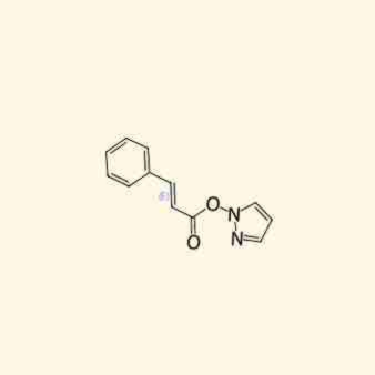 O=C(/C=C/c1ccccc1)On1cccn1